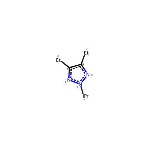 CCc1nn(C(C)C)nc1CC